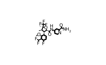 COc1c([C@H]2[C@@H](C)[C@@](C)(C(F)(F)F)O[C@H]2C(=O)Nc2ccnc(C(N)=O)c2)ccc(F)c1C(F)F